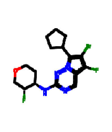 Fc1c(Br)c(C2CCCC2)n2nc(N[C@@H]3CCOC[C@H]3F)ncc12